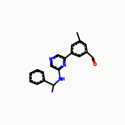 Cc1cc(C=O)cc(-c2cncc(NC(C)c3ccccc3)n2)c1